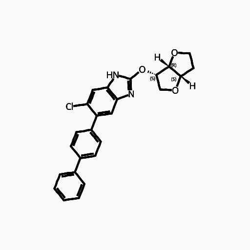 Clc1cc2[nH]c(O[C@H]3CO[C@H]4CCO[C@H]43)nc2cc1-c1ccc(-c2ccccc2)cc1